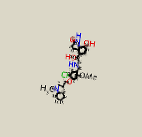 COc1cc(OCCCN(C)C2CCCCC2)c(Cl)cc1CNC[C@H](O)c1ccc(O)c2[nH]c(=O)ccc12